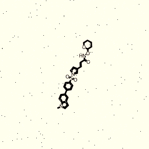 Cn1ccc2cc(-c3ccc(S(=O)(=O)n4ccc(/C=C/C(=O)NOC5CCCCO5)c4)cc3)ccc21